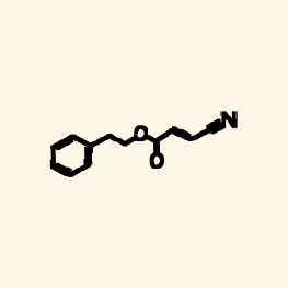 N#CC=CC(=O)OCCc1ccccc1